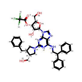 O=C(O[C@H]1[C@@H](O)[C@H](n2cnc3c(NCC(c4ccccc4)c4ccccc4)nc(N4C[C@H](CO)[C@@H](Cc5ccccc5)C4)nc32)O[C@@H]1CO)C(F)(F)F